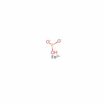 [Fe+2].[O-]P([O-])O